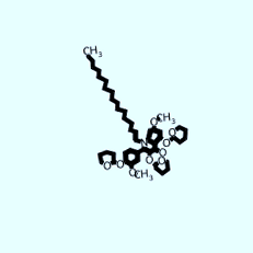 CCCCCCCCCCCCCCCCC=Cn1c(-c2ccc(OC3CCCCO3)c(OC)c2)c(OC2CCCCO2)c(=O)c2c(OC3CCCCO3)cc(OC)cc21